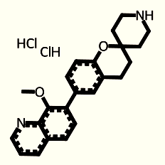 COc1c(-c2ccc3c(c2)CCC2(CCNCC2)O3)ccc2cccnc12.Cl.Cl